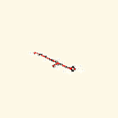 C[C@@H](CCCCNC(=O)COCCOCCNC(=O)COCCOCCNC(=O)CCCC(=O)NCCCC[C@H](NC(=O)COCOCCNC(=O)COCCOCCNC(=O)CN1CCN(CC(=O)O)CCN(CC(=O)O)CCN(CC(=O)O)CC1)C(=O)NCCCC[C@H](C)C(N)=O)C(N)=O